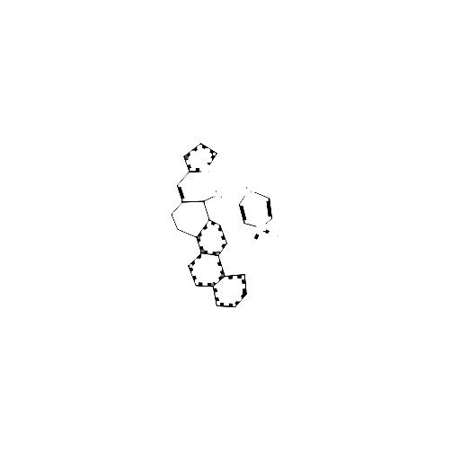 NC1C(=Cc2ccco2)CCc2c1ccc1c2ccc2ccccc21.O=S1(=O)C=CNC=C1